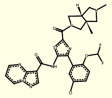 CN1C[C@H]2CN(C(=O)c3nc(-c4cc(Cl)ccc4OC(F)F)c(NC(=O)c4cnn5cccnc45)s3)C[C@@]2(C)C1